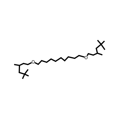 CC(CCOCCCCCCCCCCOCCC(C)CC(C)(C)C)CC(C)(C)C